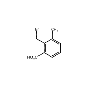 Cc1cccc(C(=O)O)c1CBr